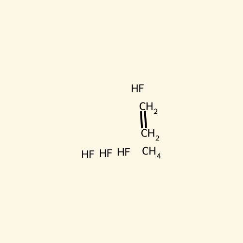 C.C=C.F.F.F.F